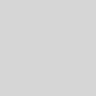 Cl.Cl.O=CCCC1CCN(Cc2cccc(-c3ccccc3)c2)CC1c1ccc2c(c1)CNCCO2